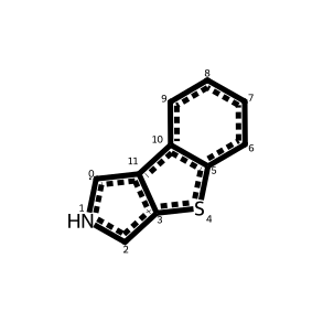 [c]1[nH]cc2sc3ccccc3c12